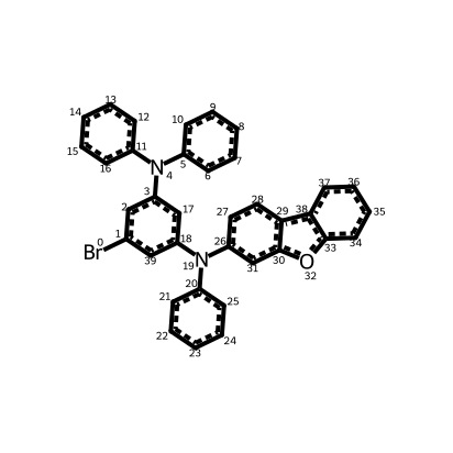 Brc1cc(N(c2ccccc2)c2ccccc2)cc(N(c2ccccc2)c2ccc3c(c2)oc2ccccc23)c1